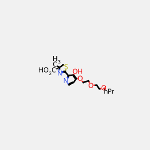 CCCOCCOCCOc1ccnc(C2=N[C@@](C)(C(=O)O)CS2)c1O